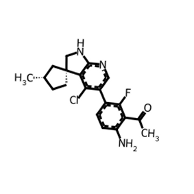 CC(=O)c1c(N)ccc(-c2cnc3c(c2Cl)[C@]2(CC[C@H](C)C2)CN3)c1F